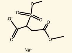 COC(=O)CC(C(=O)[O-])S(=O)(=O)OC.[Na+]